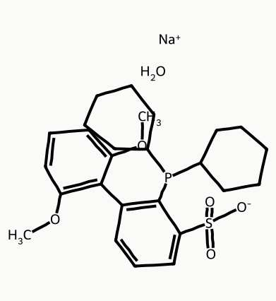 COc1cccc(OC)c1-c1cccc(S(=O)(=O)[O-])c1P(C1CCCCC1)C1CCCCC1.O.[Na+]